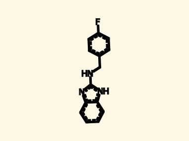 Fc1ccc(CNc2nc3ccccc3[nH]2)cc1